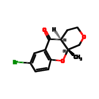 C[C@]12COCC[C@@H]1C(=O)c1cc(Br)ccc1O2